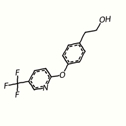 OCCc1ccc(Oc2ccc(C(F)(F)F)cn2)cc1